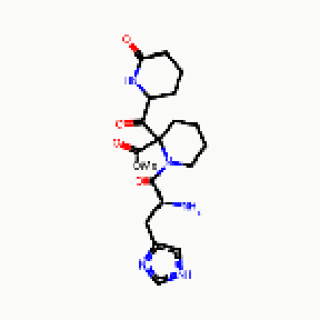 COC(=O)C1(C(=O)C2CCCC(=O)N2)CCCCN1C(=O)[C@@H](N)Cc1c[nH]cn1